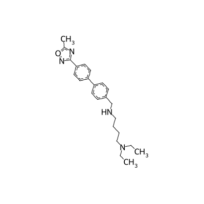 CCN(CC)CCCCNCc1ccc(-c2ccc(-c3noc(C)n3)cc2)cc1